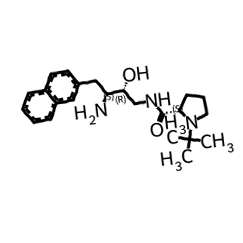 CC(C)(C)N1CCC[C@H]1C(=O)NC[C@@H](O)[C@@H](N)Cc1ccc2ccccc2c1